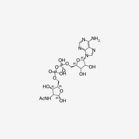 CC(=O)NC1[C@H](O)O[C@H](COP(=O)(O)OP(=O)(O)OC[C@H]2O[C@@H](n3cnc4c(N)ncnc43)C(O)C2O)[C@@H]1O